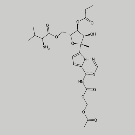 CCC(=O)O[C@H]1[C@@H](O)[C@](C)(c2ccc3c(NC(=O)OCOC(C)=O)ncnn23)O[C@@H]1COC(=O)[C@@H](N)C(C)C